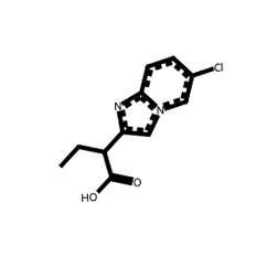 CCC(C(=O)O)c1cn2cc(Cl)ccc2n1